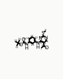 CSc1ncc(C(C)=O)c(Nc2cccc(NC(=O)OC(C)(C)C)c2)n1